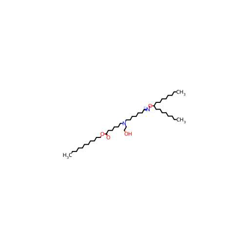 CCCCCCCCCCCOC(=O)CCCCCN(CCO)CCCCCC/C=N/OC(CCCCCCCC)CCCCCCCC